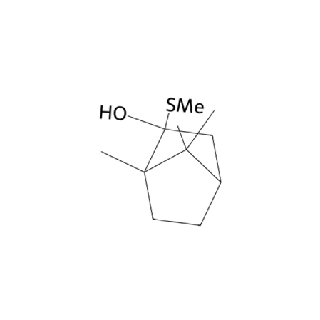 CSC1(O)CC2CCC1(C)C2(C)C